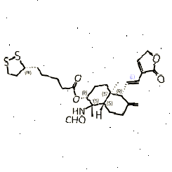 C=C1CC[C@H]2[C@@](C)(CC[C@@H](OC(=O)CCCC[C@@H]3CCSS3)[C@@]2(C)NC=O)[C@@H]1/C=C/C1=CCOC1=O